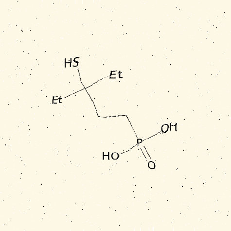 CCC(S)(CC)CCP(=O)(O)O